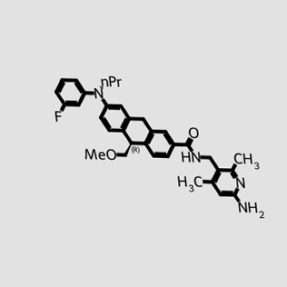 CCCN(c1cccc(F)c1)c1ccc2c(c1)Cc1cc(C(=O)NCc3c(C)cc(N)nc3C)ccc1[C@H]2COC